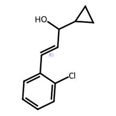 OC(/C=C/c1ccccc1Cl)C1CC1